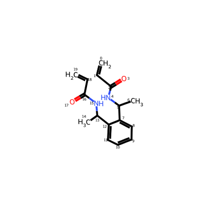 C=CC(=O)NC(C)c1ccccc1C(C)NC(=O)C=C